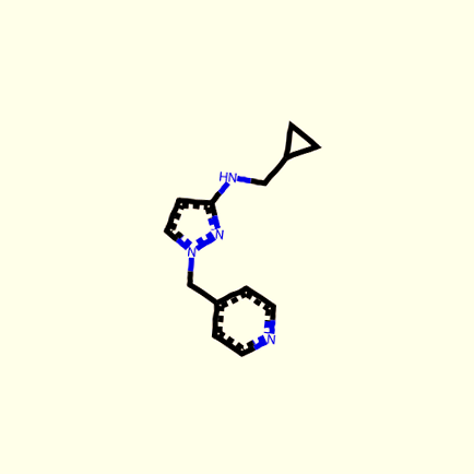 c1cc(Cn2ccc(NCC3CC3)n2)ccn1